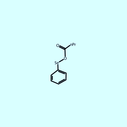 CCCC(=O)O[Se]c1ccccc1